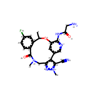 CC1Oc2cc(cnc2NC(=O)CN)-c2c(nn(C)c2C#N)CN(C)C(=O)c2ccc(F)cc21